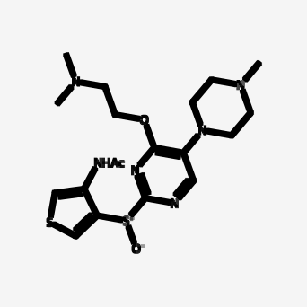 CC(=O)Nc1cscc1[S+]([O-])c1ncc(N2CCN(C)CC2)c(OCCN(C)C)n1